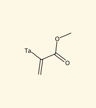 C=[C]([Ta])C(=O)OC